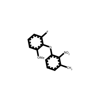 COc1cccc(F)c1Oc1cccc(C)c1[N+](=O)[O-]